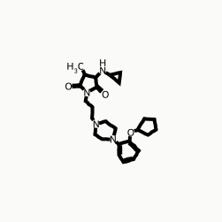 CC1C(=O)N(CCCN2CCN(c3ccccc3OC3CCCC3)CC2)C(=O)C1NC1CC1